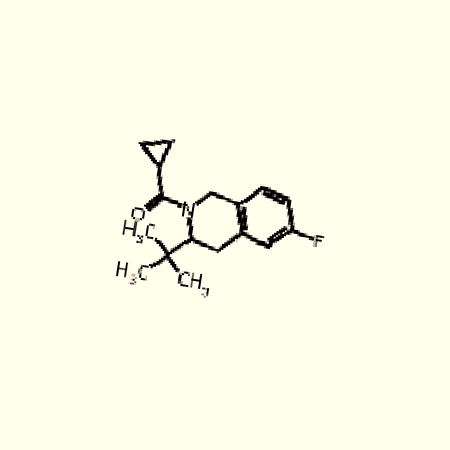 CC(C)(C)C1Cc2cc(F)ccc2CN1C(=O)C1CC1